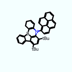 CC(C)(C)c1cc(C(C)(C)C)c2c3c1-c1ccccc1B3C1=C(C=CCC1)N2c1ccc2ccc3cccc4ccc1c2c34